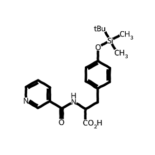 CC(C)(C)[Si](C)(C)Oc1ccc(CC(NC(=O)c2cccnc2)C(=O)O)cc1